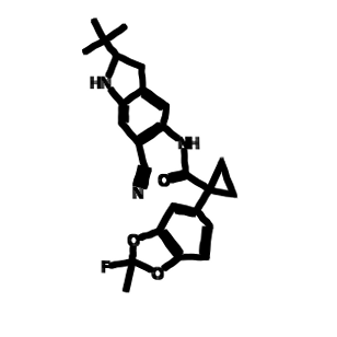 CC1(F)Oc2ccc(C3(C(=O)Nc4cc5c(cc4C#N)NC(C(C)(C)C)C5)CC3)cc2O1